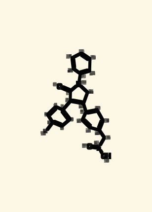 O=C1C(c2ccc(F)cc2)=C(c2ccc(CS(=O)O)cc2)CN1c1ccccc1